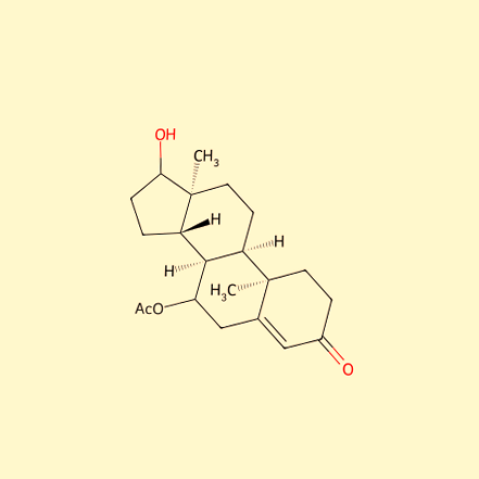 CC(=O)OC1CC2=CC(=O)CC[C@]2(C)[C@@H]2CC[C@]3(C)C(O)CC[C@H]3[C@H]12